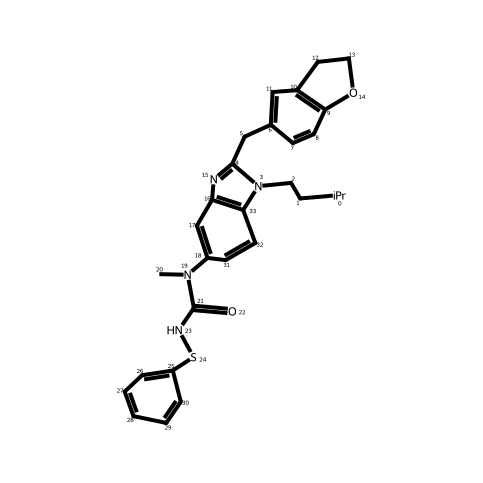 CC(C)CCn1c(Cc2ccc3c(c2)CCO3)nc2cc(N(C)C(=O)NSc3ccccc3)ccc21